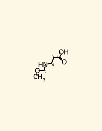 COCNCCC(=O)O